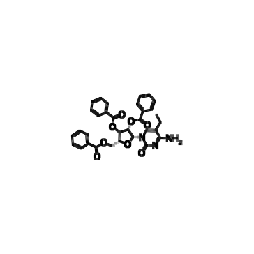 CCc1cn([C@@H]2O[C@H](COC(=O)c3ccccc3)C(OC(=O)c3ccccc3)[C@@H]2OC(=O)c2ccccc2)c(=O)nc1N